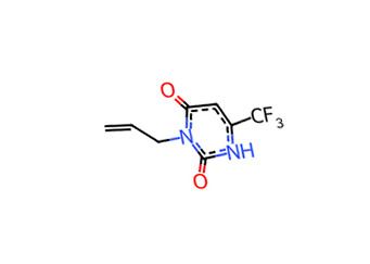 C=CCn1c(=O)cc(C(F)(F)F)[nH]c1=O